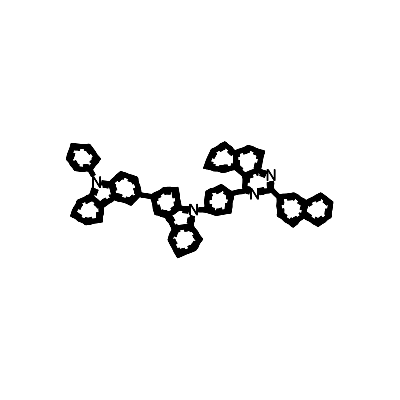 c1ccc(-n2c3ccccc3c3cc(-c4ccc5c(c4)c4ccccc4n5-c4ccc(-c5nc(-c6ccc7ccccc7c6)nc6ccc7ccccc7c56)cc4)ccc32)cc1